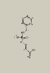 O=C(Cl)OCOP(=O)(O)OCc1ccccc1